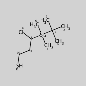 CC(C)(C)[Si](C)(C)C(Cl)CCS